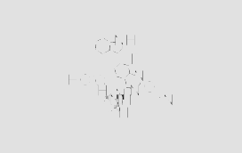 O=C(O)CCc1cccc2[nH]cc(-c3ccc4c(N5C[C@H]6CC[C@@H](C5)N6)nc(OCC56CCCN5CCC6)nc4c3F)c12